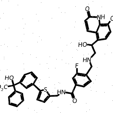 O=C(NCc1ccc(-c2cccc(C(O)(C(=O)O)c3ccccc3)c2)s1)c1ccc(CNCC(O)c2ccc(O)c3[nH]c(=O)ccc23)c(F)c1